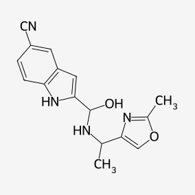 Cc1nc(C(C)NC(O)c2cc3cc(C#N)ccc3[nH]2)co1